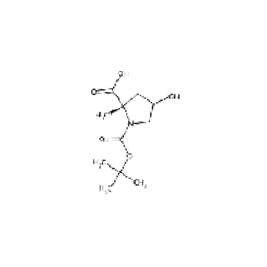 CC(C)(C)OC(=O)N1CC(O)C[C@@]1(C)C(=O)O